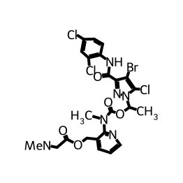 CNCC(=O)OCc1cccnc1N(C)C(=O)OC(C)n1nc(C(=O)Nc2ccc(Cl)cc2Cl)c(Br)c1Cl